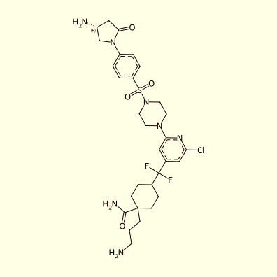 NCCCC1(C(N)=O)CCC(C(F)(F)c2cc(Cl)nc(N3CCN(S(=O)(=O)c4ccc(N5C[C@H](N)CC5=O)cc4)CC3)c2)CC1